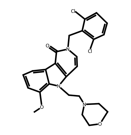 COc1cccc2c3c(=O)n(Cc4c(Cl)cccc4Cl)ccc3n(CCN3CCOCC3)c12